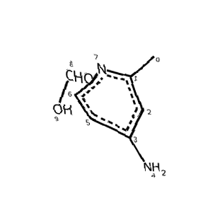 Cc1cc(N)ccn1.O=CO